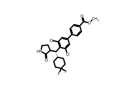 COC(=O)c1ccc(-c2cc(Cl)c([C@H](C3CCC(F)(F)CC3)C3CCNC3=O)c(Cl)c2)cc1